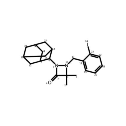 CC1(C)C(=O)N(C2C3CC4CC(C3)CC2C4)N1Cc1ccccc1I